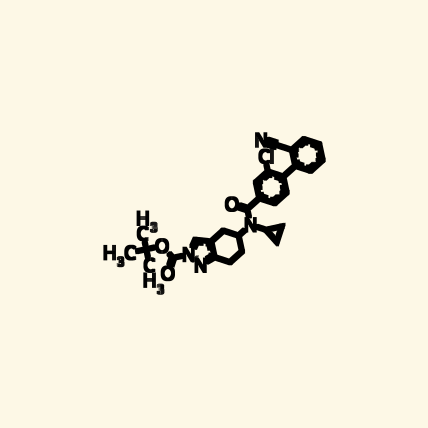 CC(C)(C)OC(=O)n1cc2c(n1)CCC(N(C(=O)c1ccc(-c3ccccc3C#N)c(Cl)c1)C1CC1)C2